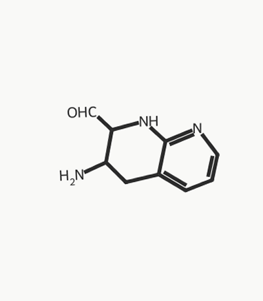 NC1Cc2cccnc2NC1C=O